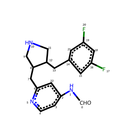 O=CNc1ccnc(CC2CNCC2Cc2cc(F)cc(F)c2)c1